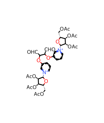 CC(=O)OC[C@H]1O[C@@H]([n+]2cccc(OC(C=O)C(C=O)Oc3ccc[n+]([C@@H]4O[C@H](COC(C)=O)[C@@H](OC(C)=O)[C@H]4OC(C)=O)c3)c2)[C@H](OC(C)=O)[C@@H]1OC(C)=O